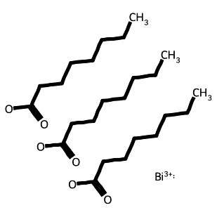 CCCCCCCC(=O)[O-].CCCCCCCC(=O)[O-].CCCCCCCC(=O)[O-].[Bi+3]